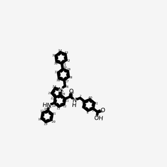 O=C(O)c1ccc(CNC(=O)c2ccc(Nc3ccccc3)c3ccn(Cc4ccc(-c5ccccc5)cc4)c23)cc1